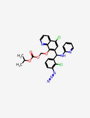 CC(C)OC(=O)OCOc1c(C(Nc2ccccn2)c2cccc(N=[N+]=[N-])c2Cl)cc(Cl)c2cccnc12